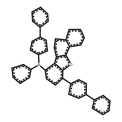 c1ccc(-c2ccc(-c3ccc(N(c4ccccc4)c4ccc(-c5ccccc5)cc4)c4c3oc3c5ccccc5ccc34)cc2)cc1